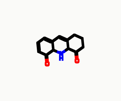 O=C1C=CC=C2C=C3CCCC(=O)C3NC12